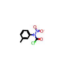 Cc1cccc(N(C(=O)Cl)[N+](=O)[O-])c1